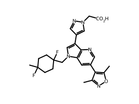 Cc1noc(C)c1-c1cnc2c(-c3cnn(CC(=O)O)c3)cn(CC3(F)CCC(C)(F)CC3)c2c1